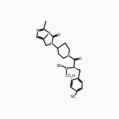 Cc1ncc2n1C(=O)N(C1CCN(C(=O)[C@@H](Cc3ccc(C#N)cc3)N(C(=O)O)C(C)(C)C)CC1)C2